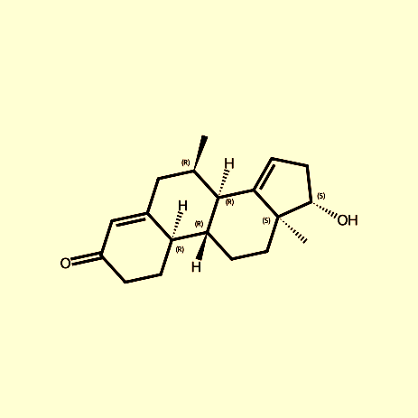 C[C@@H]1CC2=CC(=O)CC[C@@H]2[C@H]2CC[C@@]3(C)C(=CC[C@@H]3O)[C@@H]21